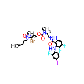 C#CCCC[N+](C)([O-])C(Br)=CCOC(=O)N(C)CCNC(=O)c1ccc(F)c(F)c1Nc1ccc(I)cc1F